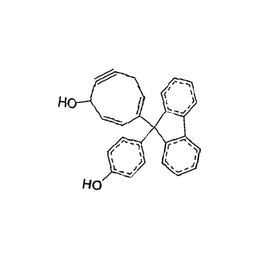 Oc1ccc(C2(C3=C/CC#CC(O)/C=C\3)c3ccccc3-c3ccccc32)cc1